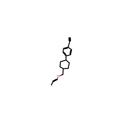 C#Cc1ccc(C2CCC(COC=CC)CC2)cc1